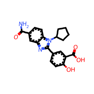 NC(=O)c1ccc2c(c1)nc(-c1ccc(O)c(C(=O)O)c1)n2C1CCCC1